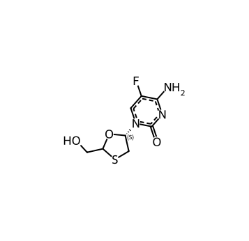 Nc1nc(=O)n([C@@H]2CSC(CO)O2)cc1F